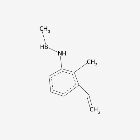 C=Cc1cccc(NBC)c1C